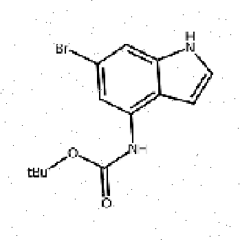 CC(C)(C)OC(=O)Nc1cc(Br)cc2[nH]ccc12